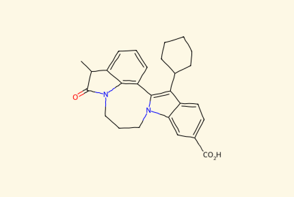 CC1C(=O)N2CCCn3c(c(C4CCCCC4)c4ccc(C(=O)O)cc43)-c3cccc1c32